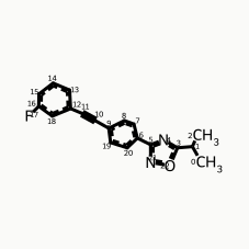 CC(C)c1nc(-c2ccc(C#Cc3cccc(F)c3)cc2)no1